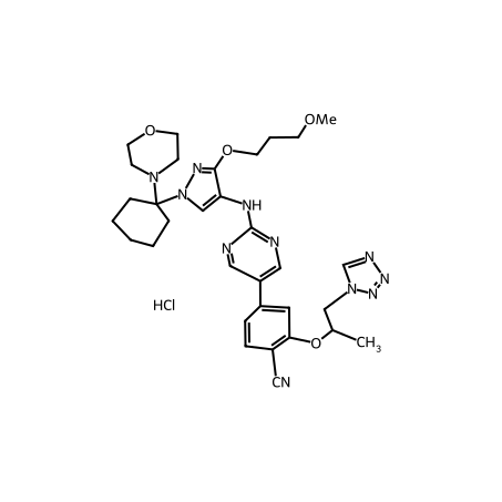 COCCCOc1nn(C2(N3CCOCC3)CCCCC2)cc1Nc1ncc(-c2ccc(C#N)c(OC(C)Cn3cnnn3)c2)cn1.Cl